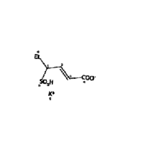 CCC(C=CC(=O)[O-])S(=O)(=O)O.[K+]